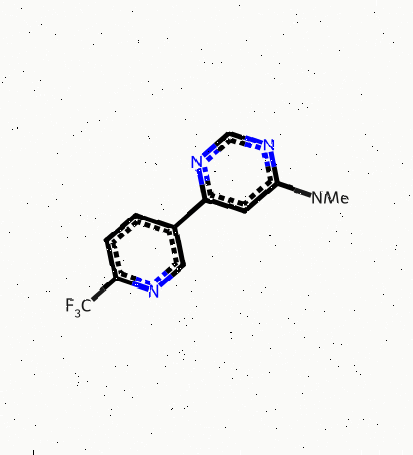 CNc1cc(-c2ccc(C(F)(F)F)nc2)ncn1